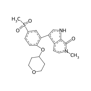 Cn1ccc2c(-c3cc(S(C)(=O)=O)ccc3OC3CCOCC3)c[nH]c2c1=O